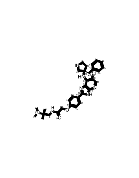 CN(C)C(C)(C)CNC(=O)COc1ccc(-c2nc3c(N[C@@]4(Cc5ccccc5)CCNC4)c(Cl)cnc3[nH]2)cc1